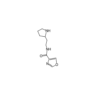 O=C(NCCC1CCCN1)c1cocn1